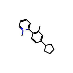 Cc1cc(C2CCCC2)ccc1-c1cccc[n+]1C